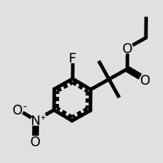 CCOC(=O)C(C)(C)c1ccc([N+](=O)[O-])cc1F